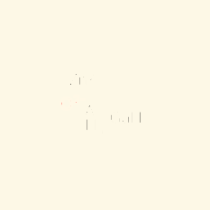 [AlH3].[GaH3].[O-2].[Zn+2]